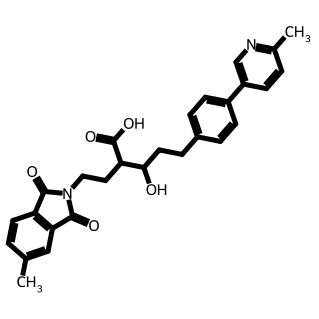 Cc1ccc2c(c1)C(=O)N(CCC(C(=O)O)C(O)CCc1ccc(-c3ccc(C)nc3)cc1)C2=O